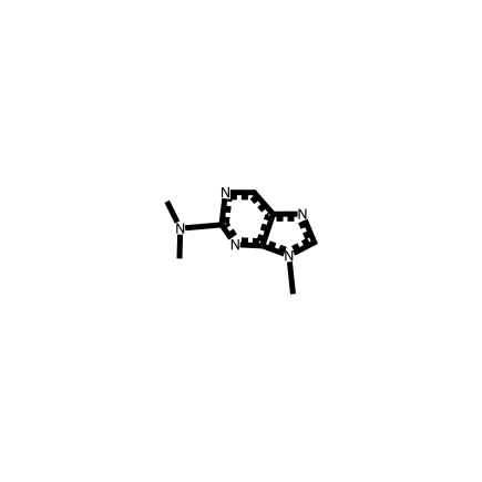 CN(C)c1ncc2ncn(C)c2n1